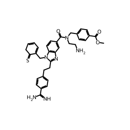 COC(=O)c1ccc(CN(CCN)C(=O)c2ccc3c(c2)nc(CCc2ccc(C(=N)N)cc2)n3CC2=CC=CCC2=S)cc1